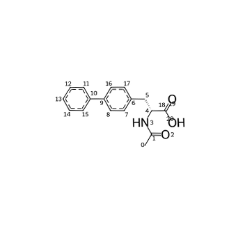 CC(=O)N[C@H](Cc1ccc(-c2ccccc2)cc1)C(=O)O